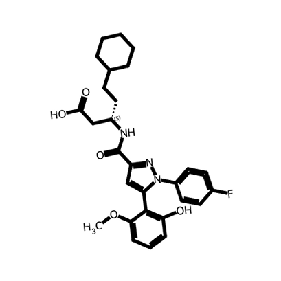 COc1cccc(O)c1-c1cc(C(=O)N[C@@H](CCC2CCCCC2)CC(=O)O)nn1C1=C=C=C(F)C=C1